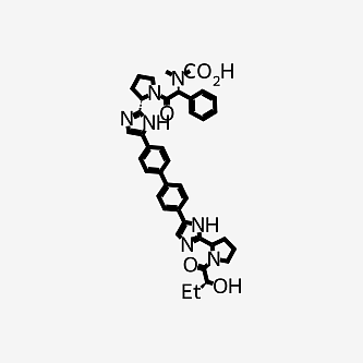 CC[C@H](O)C(=O)N1CCCC1c1ncc(-c2ccc(-c3ccc(-c4cnc([C@@H]5CCCN5C(=O)[C@@H](c5ccccc5)N(C)C(=O)O)[nH]4)cc3)cc2)[nH]1